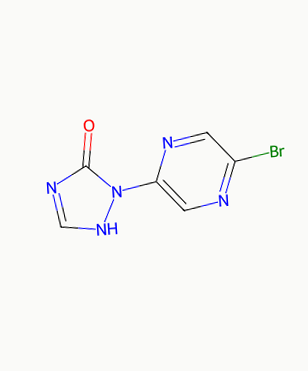 O=c1nc[nH]n1-c1cnc(Br)cn1